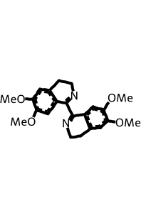 COc1cc2c(cc1OC)C(C1=NCCc3cc(OC)c(OC)cc31)=NCC2